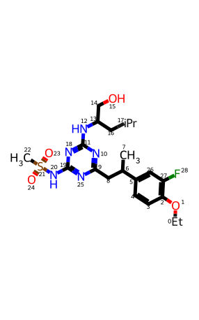 CCOc1ccc(C(C)Cc2nc(NC(CO)CC(C)C)nc(NS(C)(=O)=O)n2)cc1F